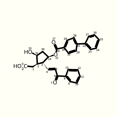 O=C(O)C[C@@H]1[C@@H](C=CC(=O)c2ccccc2)[C@H](OC(=O)c2ccc(-c3ccccc3)cc2)C[C@@H]1O